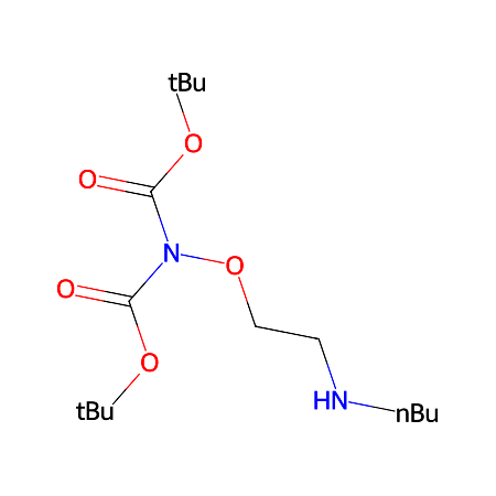 CCCCNCCON(C(=O)OC(C)(C)C)C(=O)OC(C)(C)C